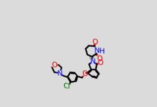 O=C1CCC[C@H](N2Cc3c(OCc4ccc(CN5CCOCC5)c(Cl)c4)cccc3C2=O)C(=O)N1